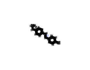 NSc1ccc(/N=C/c2ccc(Cl)cc2)cc1